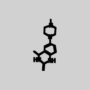 C=C1Nc2ccc(N3CCN(C)CC3)cc2C(C)N1